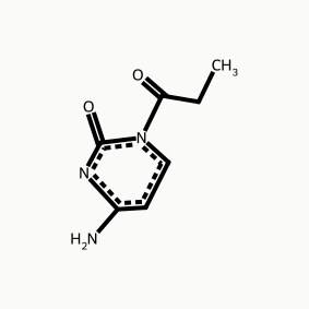 CCC(=O)n1ccc(N)nc1=O